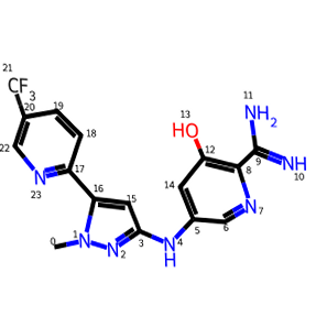 Cn1nc(Nc2cnc(C(=N)N)c(O)c2)cc1-c1ccc(C(F)(F)F)cn1